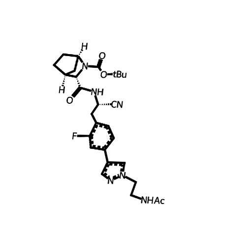 CC(=O)NCCn1cc(-c2ccc(C[C@@H](C#N)NC(=O)[C@@H]3[C@H]4CC[C@H](C4)N3C(=O)OC(C)(C)C)c(F)c2)cn1